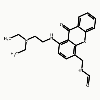 CCN(CC)CCNc1ccc(CNC=O)c2sc3ccccc3c(=O)c12